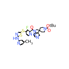 Cc1ccnc(Nc2ncc(Sc3ccnc(C(=O)NCC4(c5cccnc5)CCN(C(=O)OC(C)(C)C)CC4)c3F)s2)c1